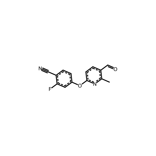 Cc1nc(Oc2ccc(C#N)c(F)c2)ccc1C=O